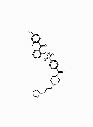 O=C(c1ccc(Cl)cc1Cl)c1ccccc1NS(=O)(=O)c1ccc(C(=O)N2CCN(CCCN3CCCC3)CC2)cc1